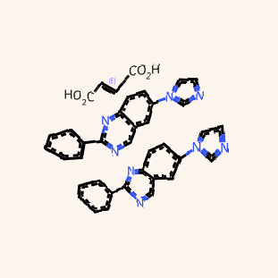 O=C(O)/C=C/C(=O)O.c1ccc(-c2ncc3cc(-n4ccnc4)ccc3n2)cc1.c1ccc(-c2ncc3cc(-n4ccnc4)ccc3n2)cc1